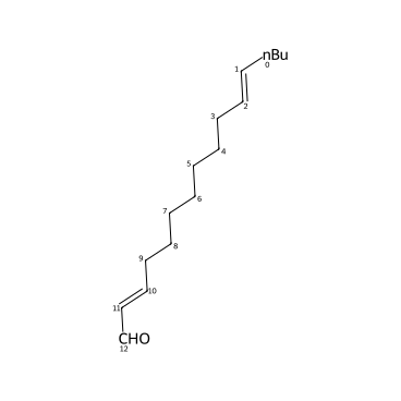 CCCCC=CCCCCCCC/C=C/C=O